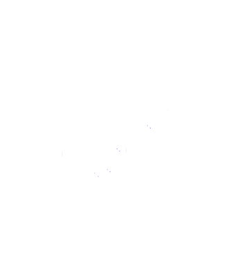 COc1nnc(NC(=O)c2cnc(C)cc2-c2ccccc2OC)s1